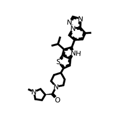 Cc1cc(-c2[nH]c3cc(C4CCN(C(=O)[C@H]5CCN(C)C5)CC4)sc3c2C(C)C)cn2ncnc12